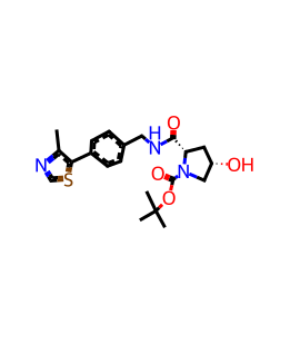 Cc1ncsc1-c1ccc(CNC(=O)[C@@H]2C[C@H](O)CN2C(=O)OC(C)(C)C)cc1